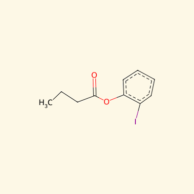 CCCC(=O)Oc1ccccc1I